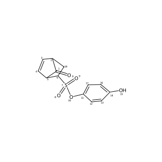 O=C1C2C=CC1C(S(=O)(=O)Oc1ccc(O)cc1)C2